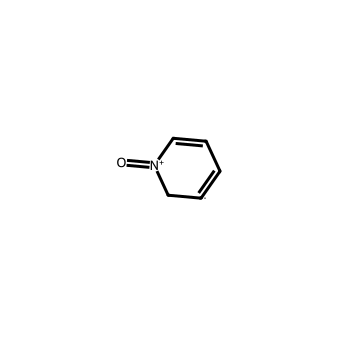 O=[N+]1C=CC=[C]C1